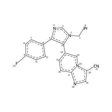 CC(C)Cn1cnc(-c2ccc(F)cc2)c1-c1ccc2ncc(C#N)n2c1